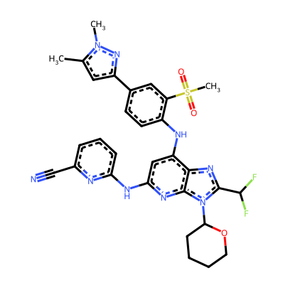 Cc1cc(-c2ccc(Nc3cc(Nc4cccc(C#N)n4)nc4c3nc(C(F)F)n4C3CCCCO3)c(S(C)(=O)=O)c2)nn1C